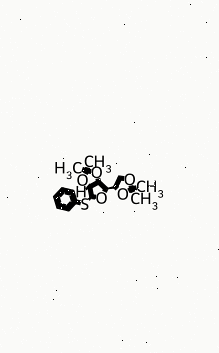 CC1(C)OCC([C@H]2O[C@@H](Sc3ccccc3)[C@@H]3OC(C)(C)OC23)O1